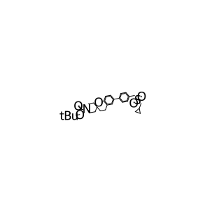 CC(C)(C)OC(=O)N1CCC2(CCc3cc(-c4ccc(CS(=O)(=O)CC5CC5)cc4)ccc3O2)CC1